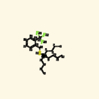 CCC[CH2][Sn]([CH2]CCC)([CH2]CCC)[S]Cc1ccccc1C(F)(F)F